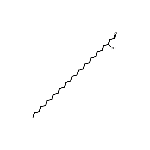 CCCCCCCCCCCCCCCCCCCCCCCCC(O)CC=O